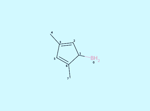 BC1C=C(C)C=C1C